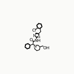 O=C(Nc1ncc(Cc2ccccc2Cl)s1)C(c1ccccc1)N1CCCC(CO)C1